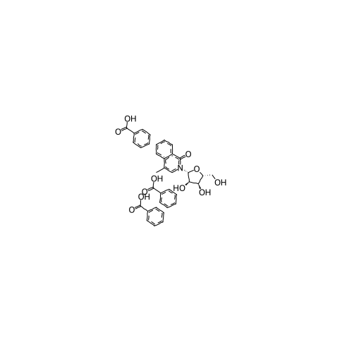 Cc1cn([C@@H]2O[C@H](CO)[C@@H](O)[C@H]2O)c(=O)c2ccccc12.O=C(O)c1ccccc1.O=C(O)c1ccccc1.O=C(O)c1ccccc1